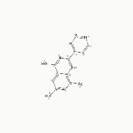 CC(=O)c1cc(C)cc2c(O)nc(-c3ccncc3)nc12